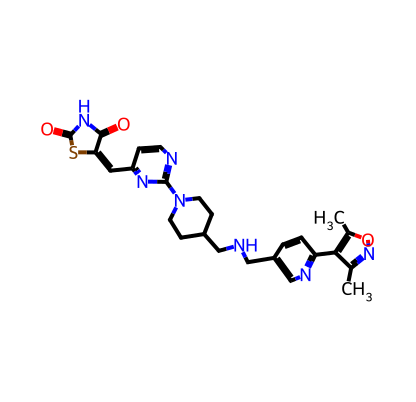 Cc1noc(C)c1-c1ccc(CNCC2CCN(c3nccc(C=C4SC(=O)NC4=O)n3)CC2)cn1